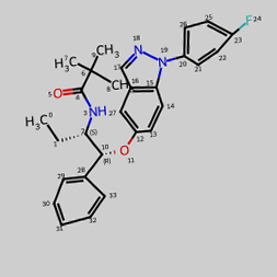 CC[C@H](NC(=O)C(C)(C)C)[C@H](Oc1ccc2c(cnn2-c2ccc(F)cc2)c1)c1ccccc1